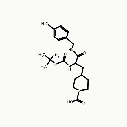 Cc1ccc(CNC(=O)C(CC2CCN(C(=O)O)CC2)NC(=O)OC(C)(C)C)cc1